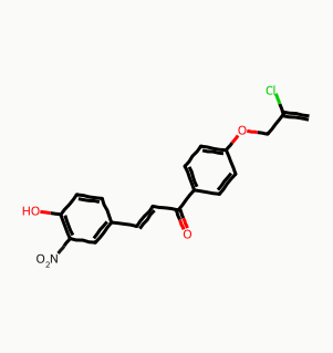 C=C(Cl)COc1ccc(C(=O)C=Cc2ccc(O)c([N+](=O)[O-])c2)cc1